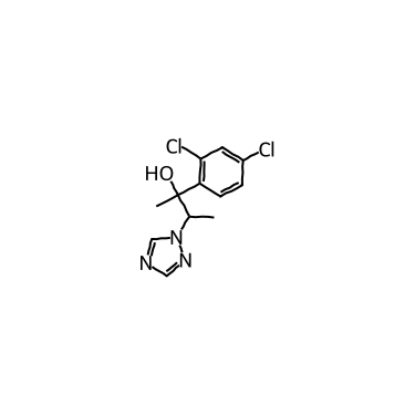 CC(n1cncn1)C(C)(O)c1ccc(Cl)cc1Cl